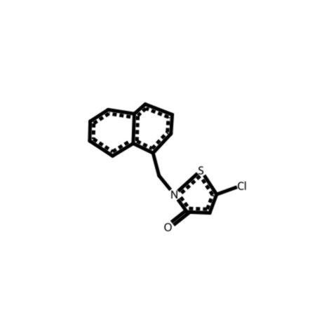 O=c1cc(Cl)sn1Cc1cccc2ccccc12